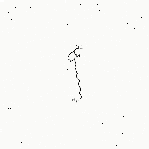 CCCCCCCCCCC1CCCC(C)N1